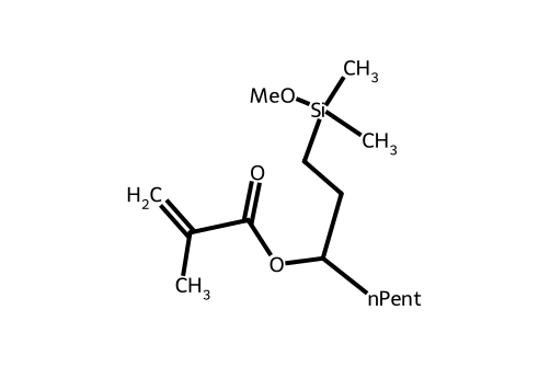 C=C(C)C(=O)OC(CCCCC)CC[Si](C)(C)OC